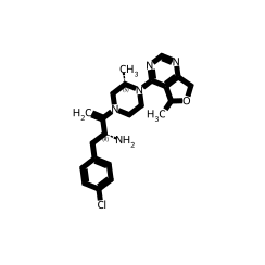 C=C([C@H](N)Cc1ccc(Cl)cc1)N1CCN(c2ncnc3c2C(C)OC3)[C@@H](C)C1